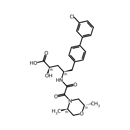 C[C@@H]1CO[C@@H](C)CN1C(=O)C(=O)N[C@H](Cc1ccc(-c2cccc(Cl)c2)cc1)C[C@@H](O)C(=O)O